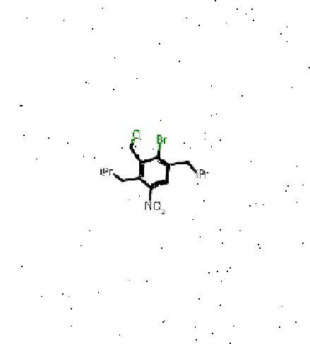 CC(C)Cc1cc([N+](=O)[O-])c(CC(C)C)c(CCl)c1Br